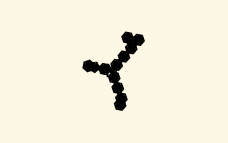 C1=C(c2ccc(N(c3ccc(-c4ccc(-c5ccc6ccccc6c5)cc4)cc3)c3ccc(-c4ccc(-c5ccc6c7ccccc7c7ccccc7c6c5)cc4)cc3)cc2)Cc2ccccc21